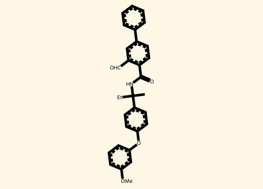 CCC(C)(NC(=O)c1ccc(-c2ccccc2)cc1C=O)c1ccc(Oc2cccc(OC)c2)cc1